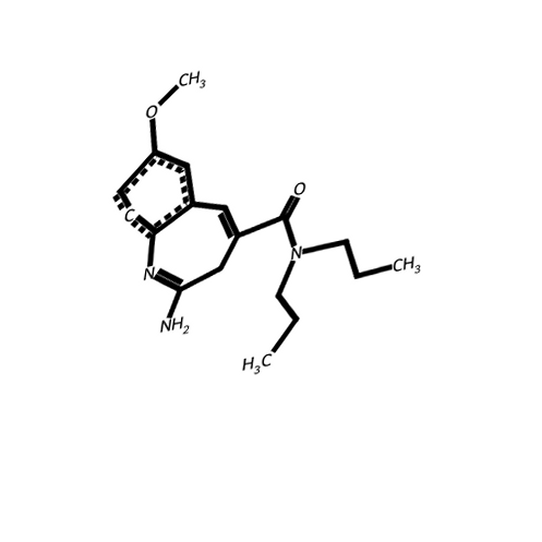 CCCN(CCC)C(=O)C1=Cc2cc(OC)ccc2N=C(N)C1